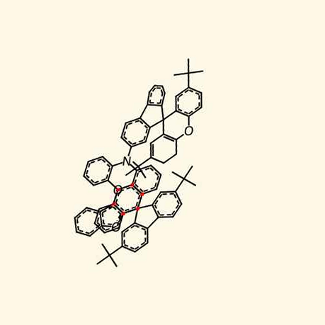 CC(C)(C)C1=CC2=C(CC1)Oc1ccc(C(C)(C)C)cc1C21c2ccccc2-c2ccc(N(c3ccccc3-c3cccc4oc5ccccc5c34)c3cccc4c3Oc3ccccc3C43c4cc(C(C)(C)C)ccc4-c4ccc(C(C)(C)C)cc43)cc21